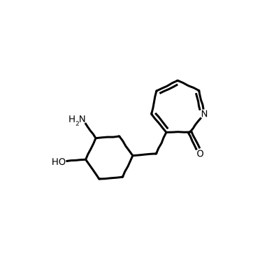 NC1CC(Cc2ccccnc2=O)CCC1O